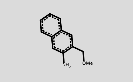 COCc1cc2ccccc2cc1N